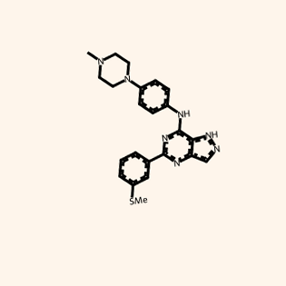 CSc1cccc(-c2nc(Nc3ccc(N4CCN(C)CC4)cc3)c3[nH]ncc3n2)c1